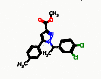 COC(=O)c1cc(-c2ccc(C)cc2)n(C(C)c2ccc(Cl)c(Cl)c2)n1